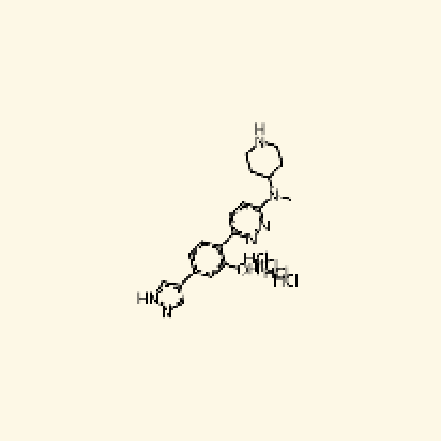 CN(c1ccc(-c2ccc(-c3cn[nH]c3)cc2O)nn1)C1CCNCC1.Cl.Cl.Cl.Cl